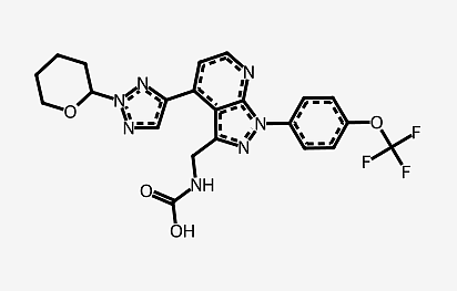 O=C(O)NCc1nn(-c2ccc(OC(F)(F)F)cc2)c2nccc(-c3cnn(C4CCCCO4)n3)c12